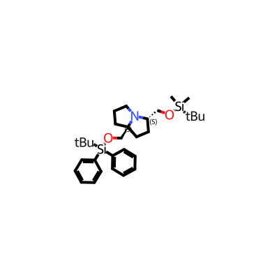 CC(C)(C)[Si](C)(C)OC[C@@H]1CC[C@]2(CO[Si](c3ccccc3)(c3ccccc3)C(C)(C)C)CCCN12